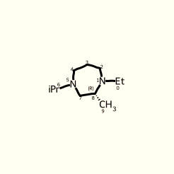 CCN1CCCN(C(C)C)C[C@H]1C